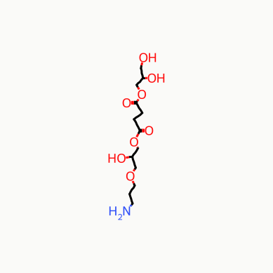 NCCCOCC(O)COC(=O)CCC(=O)OCC(O)CO